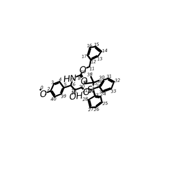 COc1ccc(C(NC(=O)OCc2ccccc2)[C@@H](O)CO[Si](c2ccccc2)(c2ccccc2)C(C)(C)C)cc1